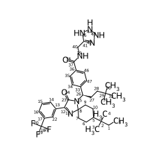 CCC(C)(C)C1CCC2(CC1)N=C(c1cccc(C(F)(F)F)c1)C(=O)N2[C@H](CCC(C)(C)C)c1ccc(C(=O)NCC2=NNNN2)cc1